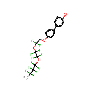 Oc1ccc(-c2ccc(OCC(F)(F)OC(F)(F)C(F)(F)OC(F)(F)C(F)(F)C(F)(F)C(F)(F)F)cc2)cc1